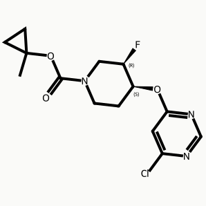 CC1(OC(=O)N2CC[C@H](Oc3cc(Cl)ncn3)[C@H](F)C2)CC1